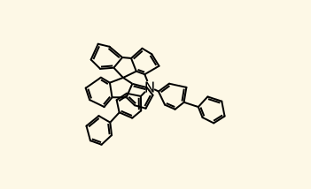 c1ccc(-c2ccc(N(c3ccc(-c4ccccc4)cc3)c3cccc4c3C3(c5ccccc5-c5ccccc53)c3ccccc3-4)cc2)cc1